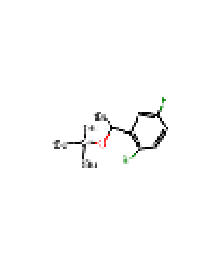 CC(C)(C)C(O[Si](C(C)(C)C)(C(C)(C)C)C(C)(C)C)c1cc(F)ccc1Br